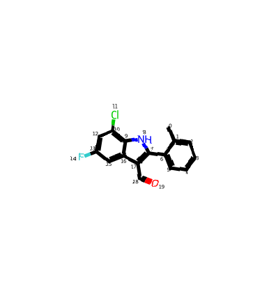 Cc1ccccc1-c1[nH]c2c(Cl)cc(F)cc2c1C=O